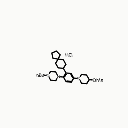 CCCCN1CCN(c2ccc(N3CCC(OC)CC3)cc2C2CCC3(CCCC3)CC2)CC1.Cl